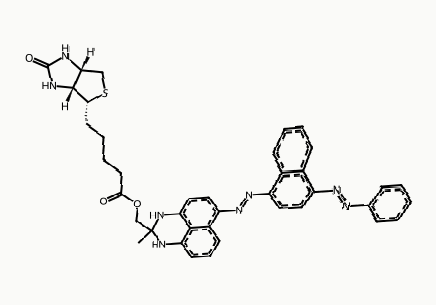 CC1(COC(=O)CCCC[C@H]2SC[C@H]3NC(=O)N[C@H]32)Nc2cccc3c(/N=N/c4ccc(/N=N/c5ccccc5)c5ccccc45)ccc(c23)N1